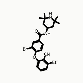 CCc1cccc(Oc2ccc(C(=O)NC3CC(C)(C)NC(C)(C)C3)cc2Br)c1C#N